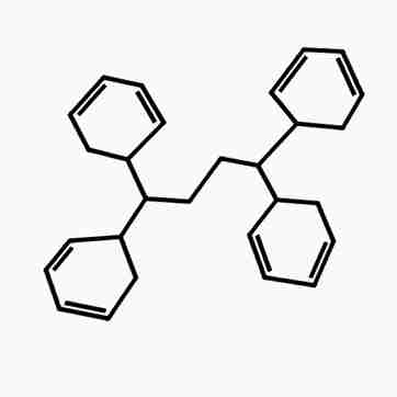 C1=CCC(C(CCC(C2C=CC=CC2)C2C=CC=CC2)C2C=CC=CC2)C=C1